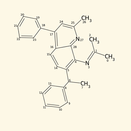 CC(C)=Nc1c(C(C)c2ccccc2)ccc2c(-c3ccccc3)cc(C)nc12